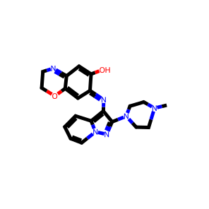 CN1CCN(c2nn3ccccc3c2/N=C2\C=C3OCCN=C3C=C2O)CC1